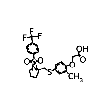 Cc1cc(SC[C@H]2CCCN2S(=O)(=O)c2ccc(C(F)(F)F)cc2)ccc1OCC(=O)O